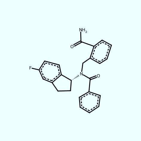 NC(=O)c1ccccc1CN(C(=O)c1ccccc1)[C@@H]1CCc2cc(F)ccc21